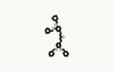 O=C(C=Cc1ccc(OCc2ccccc2)c(OCc2ccccc2)c1)C=Cc1ccc(OCc2ccccc2)c(OCc2ccccc2)c1